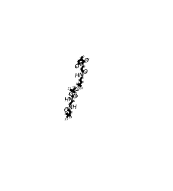 CC1CC(=O)N(CCC(=O)NCCCC(C)(C)OCC(C)(C)OC(=O)NCCNC(=O)CC(C)(C)C)C1=O